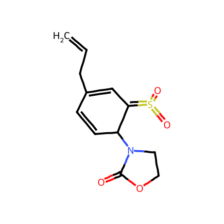 C=CCC1=CC(=S(=O)=O)C(N2CCOC2=O)C=C1